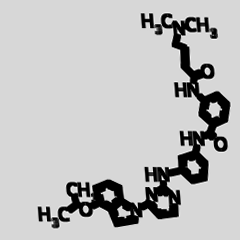 CC(C)Oc1cccc2c1ccn2-c1ccnc(Nc2cccc(NC(=O)c3cccc(NC(=O)C=CCN(C)C)c3)c2)n1